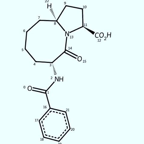 O=C(N[C@@H]1CCCC[C@H]2CC[C@@H](C(=O)O)N2C1=O)c1ccccc1